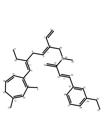 C=C/C(=C\C/C(=C/C1=C(C)C=C(C)CC=C1)CC)CN(C)C(=C)/C=C/c1cccc(CC)c1